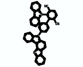 N#Cc1ccc(C#N)c(-n2c3ccccc3c3ccccc32)c1-c1ccc(-n2c3ccccc3c3c4sc5ccccc5c4ccc32)cc1